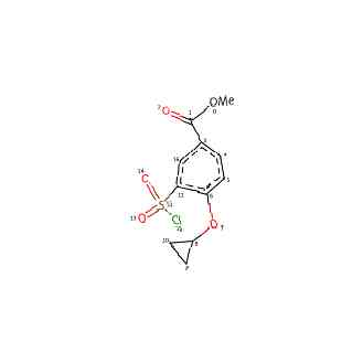 COC(=O)c1ccc(OC2CC2)c(S(=O)(=O)Cl)c1